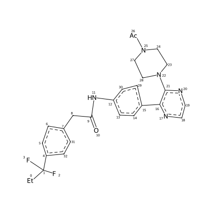 CCC(F)(F)c1ccc(CC(=O)Nc2ccc(-c3nccnc3N3CCN(C(C)=O)CC3)cc2)cc1